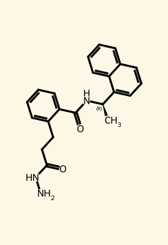 C[C@@H](NC(=O)c1ccccc1CCC(=O)NN)c1cccc2ccccc12